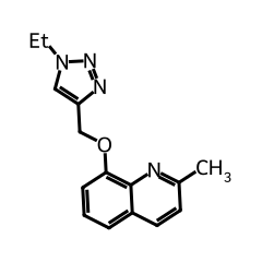 CCn1cc(COc2cccc3ccc(C)nc23)nn1